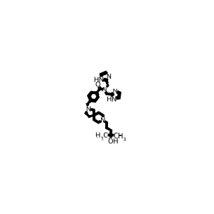 CC(C)(O)CCCN1CCC2(CC1)CCN(Cc1ccc(C(=O)N(Cc3ncc[nH]3)Cc3ncc[nH]3)cc1)C2